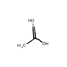 CC(O)=S.Cl